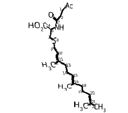 CC(=O)CCC(=O)N[C@@H](CSC/C=C(\C)CC/C=C(\C)CCC=C(C)C)C(=O)O